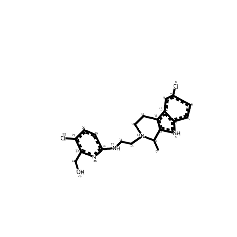 CC1c2[nH]c3ccc(Cl)cc3c2CCN1CCNc1ccc(Cl)c(CO)n1